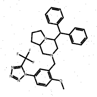 COc1ccc(-n2nnnc2C(F)(F)F)cc1CN1CC2CCCN2C(C(c2ccccc2)c2ccccc2)C1